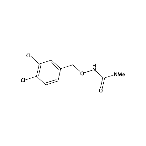 CNC(=O)NOCc1ccc(Cl)c(Cl)c1